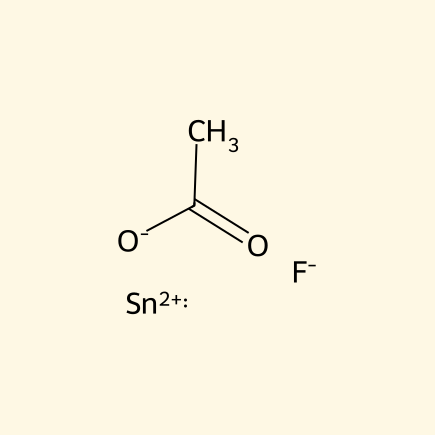 CC(=O)[O-].[F-].[Sn+2]